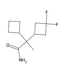 CC(C(N)=O)(C1CCC1)C1CC(F)(F)C1